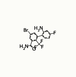 NC(=O)c1cc(Br)cc(-c2ccc(F)cc2N)c1C(F)(F)F